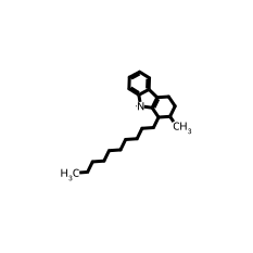 CCCCCCCCCCC1C2=C(CCC1C)c1ccccc1[N]2